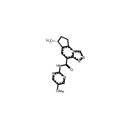 COc1cnc(NC(=O)c2cc3c(n4cnnc24)CC[C@H]3C)nc1